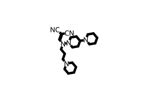 N#CC(C#N)=CN(CCCN1CCCCC1)N1CCC(N2CCCCC2)CC1